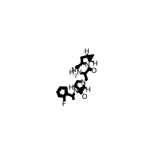 CC(c1ccccc1F)N1C(=O)[C@@H]2C[C@@H]1CN2CC(N)C(=O)N1C(C#N)C[C@@H]2C[C@@H]21